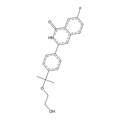 CC(C)(OCCO)c1ccc(-c2cc3ccc(F)cc3c(=O)[nH]2)cc1